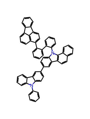 c1ccc(-n2c3ccccc3c3cc(-c4ccc5c(c4)c4ccc6ccccc6c4n5-c4ccccc4-c4ccccc4-c4ccc5c6c(cccc46)-c4ccccc4-5)ccc32)cc1